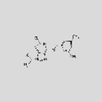 Cc1cc(C)nc(CNc2nc(Cl)nc3c2ncn3C(C)C)c1